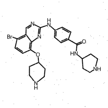 O=C(NC1CCNCC1)c1ccc(Nc2ncc3c(Br)ccc(OC4CCNCC4)c3n2)cc1